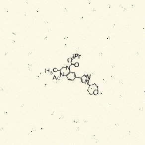 CC(=O)N1c2ccc(-c3cnn(C4CCOCC4)c3)cc2N(C(=O)OC(C)C)C[C@@H]1C